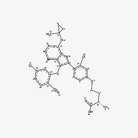 C[C@@H](CCOc1ccc(-c2nc3c(OC4(C)CC4)ncnc3n2Cc2cc(Cl)ccc2C#N)c(Cl)c1)C(=O)O